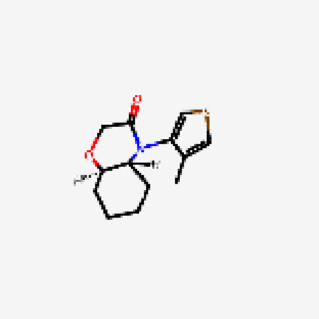 Cc1cscc1N1C(=O)CO[C@@H]2CCCC[C@H]21